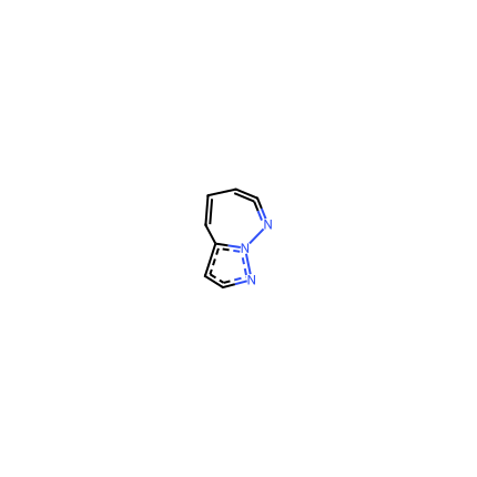 C1=CC=Cc2ccnn2N=1